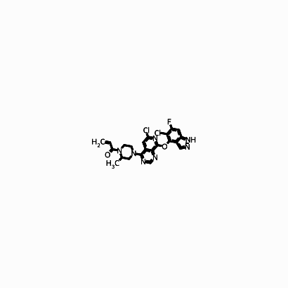 C=CC(=O)N1CCN(c2ncnc3c(Oc4c(Cl)c(F)cc5[nH]ncc45)nc(Cl)cc23)CC1C